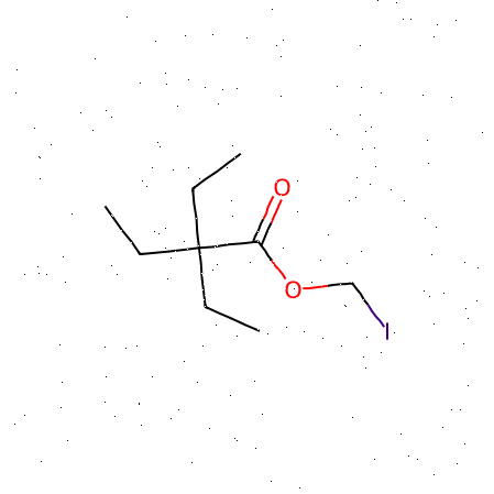 CCC(CC)(CC)C(=O)OCI